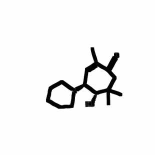 CC1=C[C@H](N2CCCCC2)[C@@H](O)C(C)(C)CC1=O